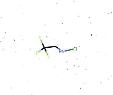 FC(F)(F)CNCl